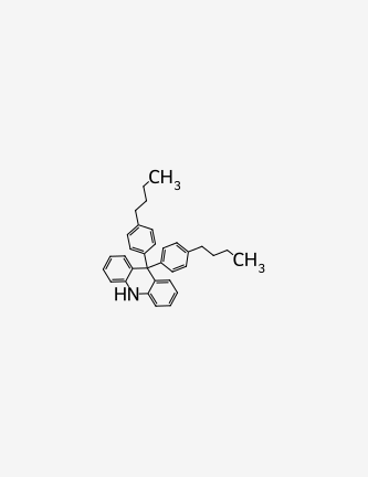 CCCCc1ccc(C2(c3ccc(CCCC)cc3)c3ccccc3Nc3ccccc32)cc1